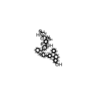 Cn1nc(N2CCC(=O)NC2=O)c2cc(F)c(C3(O)CCN(C[C@@H]4CCCC[C@H]4CN4CCN(c5ccc([C@@H]6c7ccc(O)cc7CC[C@@H]6c6ccccc6)cc5)CC4)CC3)cc21